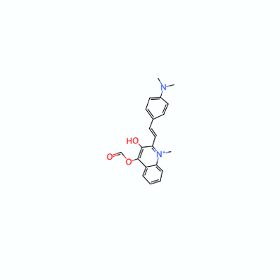 CN(C)c1ccc(/C=C/c2c(O)c(OC=O)c3ccccc3[n+]2C)cc1